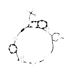 CN1CCC2Nc3cccc4c3cc(n4CC(F)(F)F)C#CCNc3cccc(c3)C(=O)NCCOCCOCCC2C1